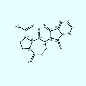 O=C(O)[C@H]1CCN2C(=O)CC[C@H](N3C(=O)c4ccccc4C3=O)C(=O)N12